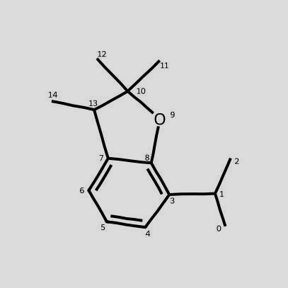 CC(C)c1cccc2c1OC(C)(C)C2C